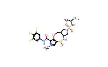 CC(C)NS(=O)(=O)N1CC2COc3c(cn(C)c3C(=O)Nc3cc(F)c(F)c(F)c3)[S+]([O-])NC2C1